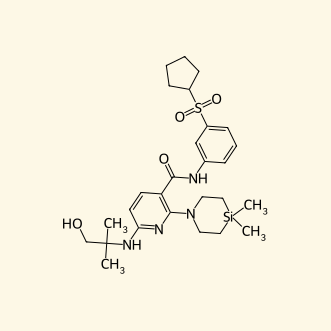 CC(C)(CO)Nc1ccc(C(=O)Nc2cccc(S(=O)(=O)C3CCCC3)c2)c(N2CC[Si](C)(C)CC2)n1